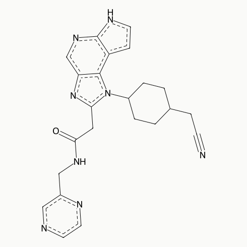 N#CCC1CCC(n2c(CC(=O)NCc3cnccn3)nc3cnc4[nH]ccc4c32)CC1